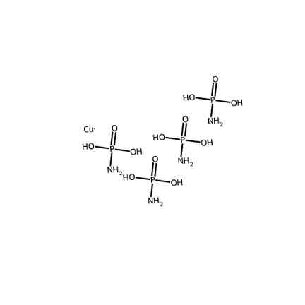 NP(=O)(O)O.NP(=O)(O)O.NP(=O)(O)O.NP(=O)(O)O.[Cu]